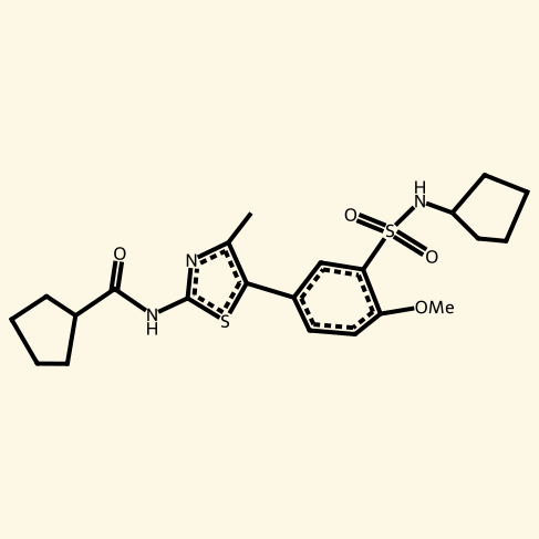 COc1ccc(-c2sc(NC(=O)C3CCCC3)nc2C)cc1S(=O)(=O)NC1CCCC1